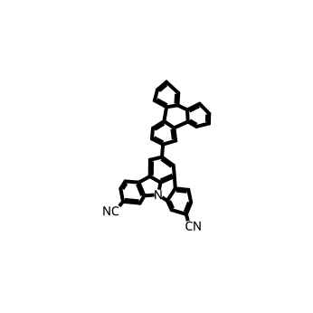 N#Cc1ccc2c3cc(-c4ccc5c6ccccc6c6ccccc6c5c4)cc4c5ccc(C#N)cc5n(c2c1)c34